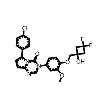 COc1cc(-n2cnc3ccc(-c4ccc(Cl)cc4)n3c2=O)ccc1OCC1(O)CC(F)(F)C1